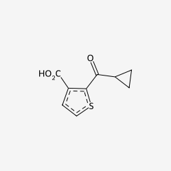 O=C(O)c1ccsc1C(=O)C1CC1